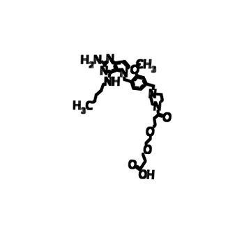 CCCCCNc1nc(N)nc2ccn(Cc3ccc(CN4CCN(C(=O)CCOCCOCCC(=O)O)CC4)cc3OC)c12